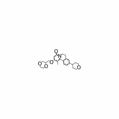 Cc1c(OCC2COCCO2)cc(=O)n2c1-c1ccc(C3CCOCC3)cc1CC2